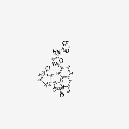 C[C@H](Cc1ccc(-c2ncc(NC(=O)C(F)(F)F)o2)cc1)N1C[C@@H](c2cccc(Cl)c2)OC1=O